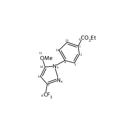 CCOC(=O)c1ccc(-n2nc(C(F)(F)F)cc2OC)cc1